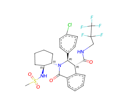 CS(=O)(=O)N[C@H]1CCCC[C@@H]1N1C(=O)c2ccccc2[C@@H](C(=O)NCC(F)(F)C(F)(F)F)[C@@H]1c1ccc(Cl)cc1